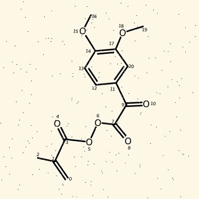 C=C(C)C(=O)OOC(=O)C(=O)c1ccc(OC)c(OC)c1